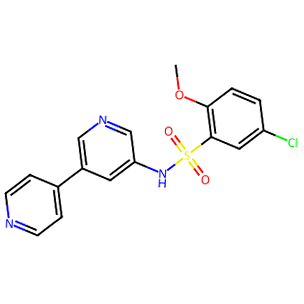 COc1ccc(Cl)cc1S(=O)(=O)Nc1cncc(-c2ccncc2)c1